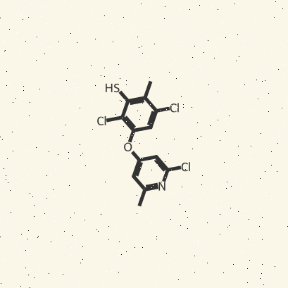 Cc1cc(Oc2cc(Cl)c(C)c(S)c2Cl)cc(Cl)n1